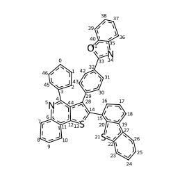 c1ccc(-c2nc3ccccc3c3sc(-c4cccc5c4sc4ccccc45)c(-c4ccc(-c5nc6ccccc6o5)cc4)c23)cc1